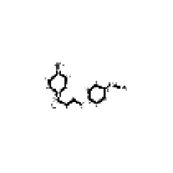 CC(C)O[C@H]1CC[C@H](CCC[C@H](C)N2CCN(C(C)C)CC2)CC1